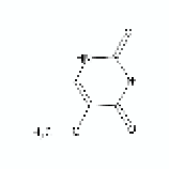 COC1=CNC(=O)[N]C1=O